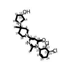 Cc1nc(N2CCC(C)(N3CC[C@H](O)C3)CC2)cc(=O)n1C1C=CC[C@H](Cl)[C@@H]1Cl